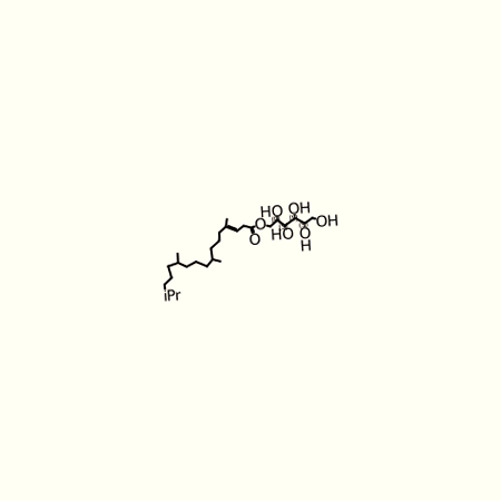 CC(=CCC(=O)OC[C@@H](O)[C@H](O)[C@@H](O)[C@@H](O)CO)CCCC(C)CCCC(C)CCCC(C)C